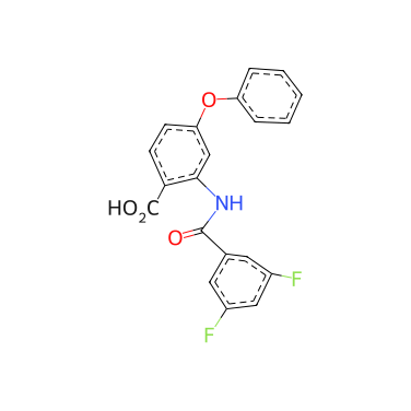 O=C(Nc1cc(Oc2ccccc2)ccc1C(=O)O)c1cc(F)cc(F)c1